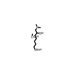 CC(=O)O.CCCCCCCCCCCCCCC(O)CN(C)C